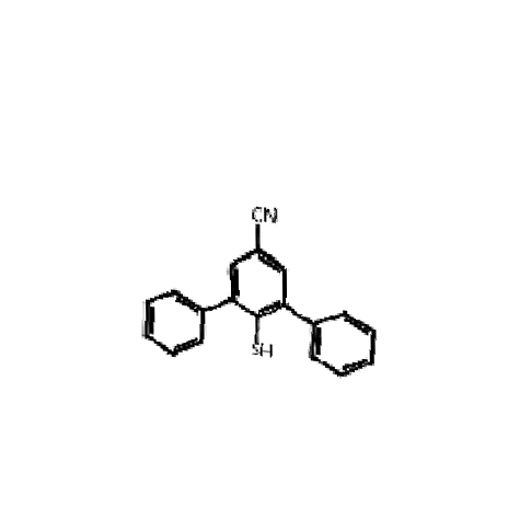 N#Cc1cc(-c2ccccc2)c(S)c(-c2ccccc2)c1